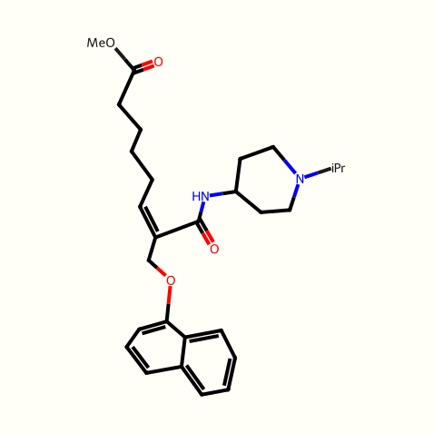 COC(=O)CCCCC=C(COc1cccc2ccccc12)C(=O)NC1CCN(C(C)C)CC1